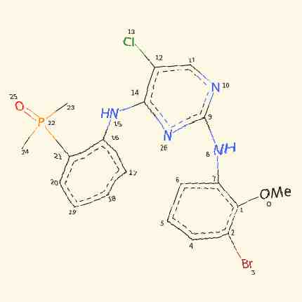 COc1c(Br)cccc1Nc1ncc(Cl)c(Nc2ccccc2P(C)(C)=O)n1